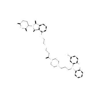 O=C1CCC(N2C(=O)c3cccc(OCCOCCC(=O)N4CCN(CCCN5c6ccccc6Sc6ccc(Cl)cc65)CC4)c3C2=O)C(=O)N1